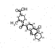 C[C@@H]1CN(C(=O)O)CCN1C(=O)c1ccc2c(Cl)c3c(nc2c1)CCCC3